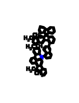 CC1(C)CC(C)(C)c2cc3c(cc21)-c1c(-c2ccc4c(N(c5ccc6c(c5)-c5ccccc5C6(C)C)c5ccccc5-c5ccccc5)cccc4c2)cccc1C3(c1ccccc1)c1ccccc1